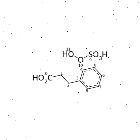 O=C(O)CCc1ccccc1.O=S(=O)(O)OO